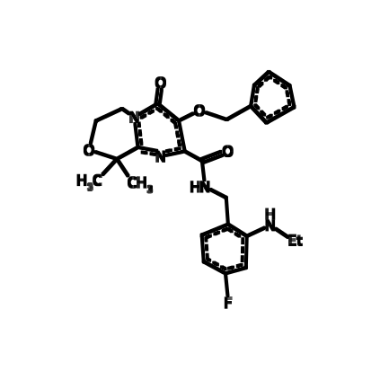 CCNc1cc(F)ccc1CNC(=O)c1nc2n(c(=O)c1OCc1ccccc1)CCOC2(C)C